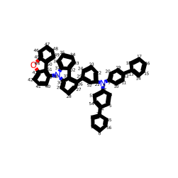 c1ccc(-c2ccc(N(c3ccc(-c4ccccc4)cc3)c3cccc(-c4cccc5c4c4ccccc4n5-c4cccc5oc6ccccc6c45)c3)cc2)cc1